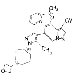 Cc1c(-c2cc(O[C@H](C)c3ccccn3)c3c(C#N)cnn3c2)cnn1[C@@H]1CCCN(C2COC2)CC1